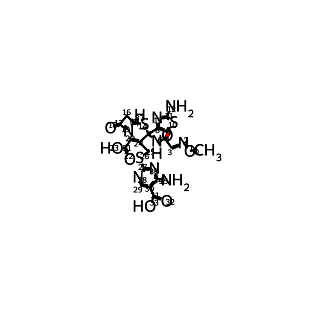 CON=CC(=O)NC1(c2csc(N)n2)S[C@H]2CC(=O)N2C(C(=O)O)=C1CSc1ncc(C(=O)O)c(N)n1